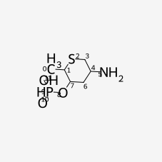 CC1SCC(N)CC1O[PH](=O)O